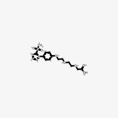 CS(=O)(=O)c1nnnn1-c1ccc(OCCOCCOCC(=O)O)cc1